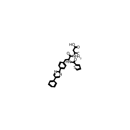 CC(CC(=O)O)NC(=O)C(Cc1ccc(-c2ncc(-c3ccccc3)cn2)cc1)NC(=O)c1cccs1